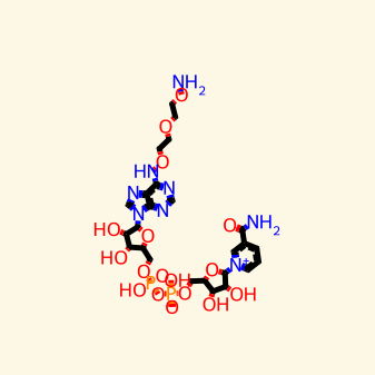 NOCCOCCONc1ncnc2c1ncn2C1OC(COP(=O)(O)OP(=O)(O)OCC2OC([n+]3cccc(C(N)=O)c3)C(O)C2O)C(O)C1O